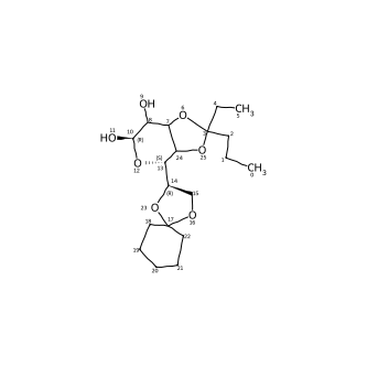 CCCC1(CC)OC2C(O)[C@H](O)O[C@@H]([C@H]3COC4(CCCCC4)O3)C2O1